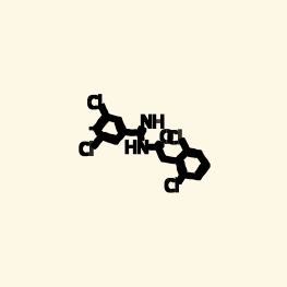 N=C(NC(=O)Cc1c(Cl)cccc1Cl)c1cc(Cl)[c]c(Cl)c1